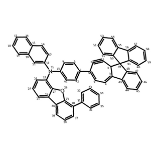 C1#CC2C(=CC=C1c1ccc(N(c3ccc4ccccc4c3)c3cccc4c3oc3c(-c5ccccc5)cccc34)cc1)c1ccccc1C21c2ccccc2-c2ccccc21